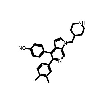 Cc1ccc(-c2ncc3c(ccn3CC3CCNCC3)c2-c2ccc(C#N)cc2)cc1C